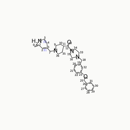 C=C/C=C(\C=C/N)CN1CCC(C(=O)N2CCN(Cc3cccc(OCc4ccccc4)c3)CC2)CC1